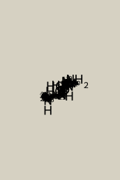 CCCN1CNC2C(C1N)N(C)CN2[C@@H]1O[C@H](CN(C)CCNCCC2CNc3ccccc32)[C@@H](O)[C@H]1O